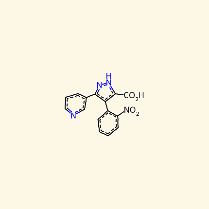 O=C(O)c1[nH]nc(-c2cccnc2)c1-c1ccccc1[N+](=O)[O-]